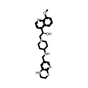 COc1cccc2c([C@@H](O)CN3CCC(NCc4cnc5c(c4)NCCS5)CC3)ccnc12